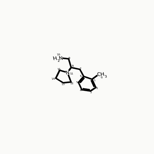 Cc1ccccc1CC(CN)N1CCCC1